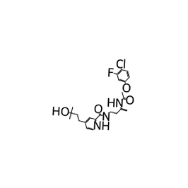 C=C(CCNC(=O)c1cc(CCC(C)(C)O)ccn1)NC(=O)COc1ccc(Cl)c(F)c1